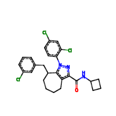 O=C(NC1CCC1)c1nn(-c2ccc(Cl)cc2Cl)c2c1CCCCC2Cc1cccc(Cl)c1